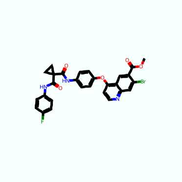 COC(=O)c1cc2c(Oc3ccc(NC(=O)C4(C(=O)Nc5ccc(F)cc5)CC4)cc3)ccnc2cc1Br